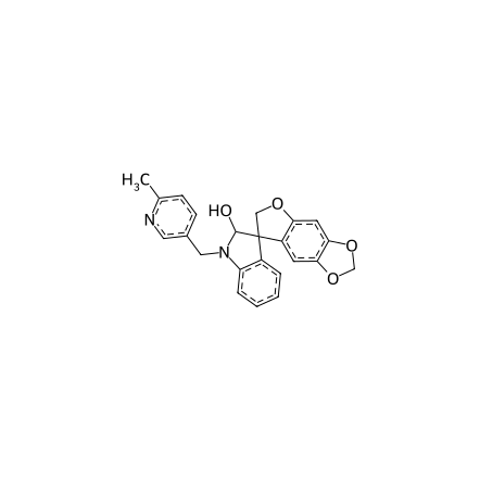 Cc1ccc(CN2c3ccccc3C3(COc4cc5c(cc43)OCO5)C2O)cn1